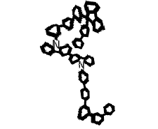 c1ccc(-c2ccc(C3(c4cccc(-c5ccc(-c6cccc(-n7c8ccccc8c8cc(-c9ccc%10c(c9)c9ccccc9n%10-c9ccc(-c%10ccc(-c%11cccc(-c%12cccc(-c%13ccccc%13)c%12)c%11)cc%10)cc9)ccc87)c6)cc5)c4)c4ccccc4-c4ccccc43)cc2)cc1